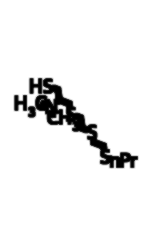 CCCSCCSCCSCC(CS)N(C)C